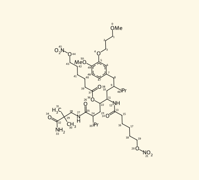 COCCCOc1cc(CC(CC(NC(=O)CCCCCO[N+](=O)[O-])C(CC(C(=O)NCC(C)(C)C(N)=O)C(C)C)OC(=O)CCCCCO[N+](=O)[O-])C(C)C)ccc1OC